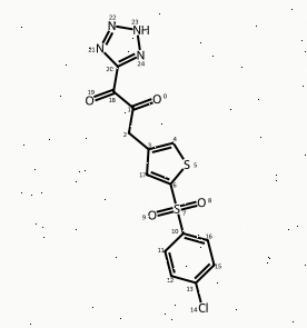 O=C(Cc1csc(S(=O)(=O)c2ccc(Cl)cc2)c1)C(=O)c1nn[nH]n1